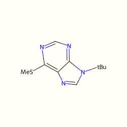 CSc1ncnc2c1ncn2C(C)(C)C